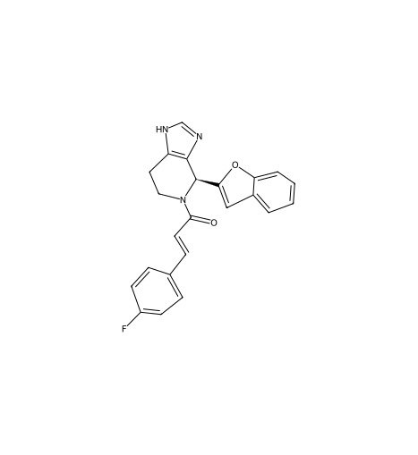 O=C(/C=C/c1ccc(F)cc1)N1CCc2[nH]cnc2[C@H]1c1cc2ccccc2o1